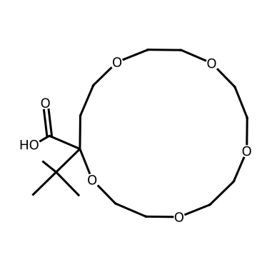 CC(C)(C)C1(C(=O)O)CCOCCOCCOCCOCCO1